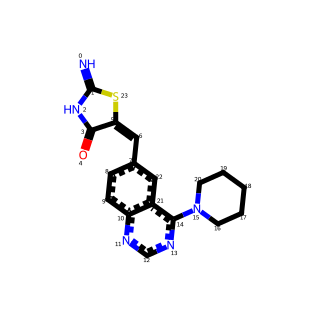 N=C1NC(=O)/C(=C\c2ccc3ncnc(N4CCCCC4)c3c2)S1